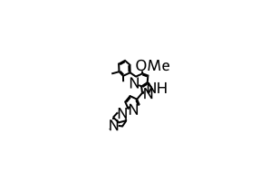 COc1cc2[nH]nc(-c3ccc(N4CC5CC4CN5C)nc3)c2nc1-c1cccc(C)c1C